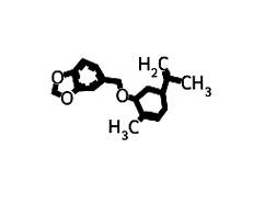 C=C(C)C1CC=C(C)C(OCc2ccc3c(c2)OCO3)C1